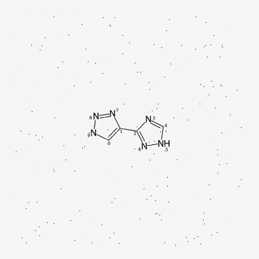 C1=C(c2nc[nH]n2)N=N[N]1